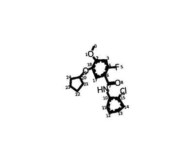 COc1cc(F)c(C(=O)Nc2ccccc2Cl)cc1OC1CCCC1